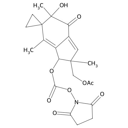 CC(=O)OCC1(C)C=C2C(=O)C(C)(O)C3(CC3)C(C)=C2C1OC(=O)ON1C(=O)CCC1=O